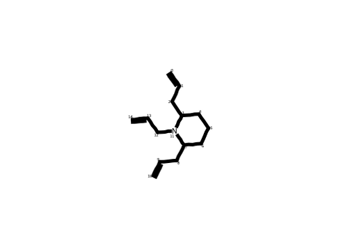 C=CCC1CCCC(CC=C)N1CC=C